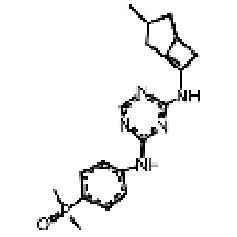 CC1CC2=C(Nc3ncnc(Nc4ccc(P(C)(C)=O)cc4)n3)CC2C1